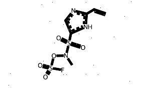 C=Cc1ncc(S(=O)(=O)N(C)OS(=O)(=O)F)[nH]1